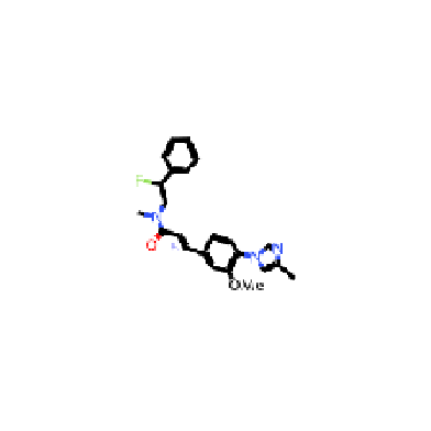 COc1cc(/C=C/C(=O)N(C)CC(F)c2ccccc2)ccc1-n1cnc(C)c1